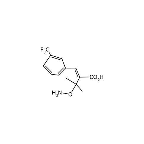 CC(C)(ON)C(=Cc1cccc(C(F)(F)F)c1)C(=O)O